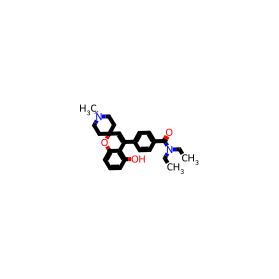 CCN(CC)C(=O)c1ccc(C2=CC3(CCN(C)CC3)Oc3cccc(O)c32)cc1